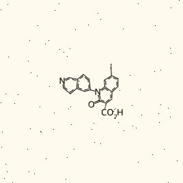 O=C(O)c1cc2ccc(I)cc2n(-c2ccc3cnccc3c2)c1=O